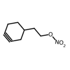 O=[N+]([O-])OCCC1CC#CCC1